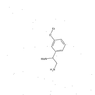 CCOc1cccc(C(CN)NC)c1